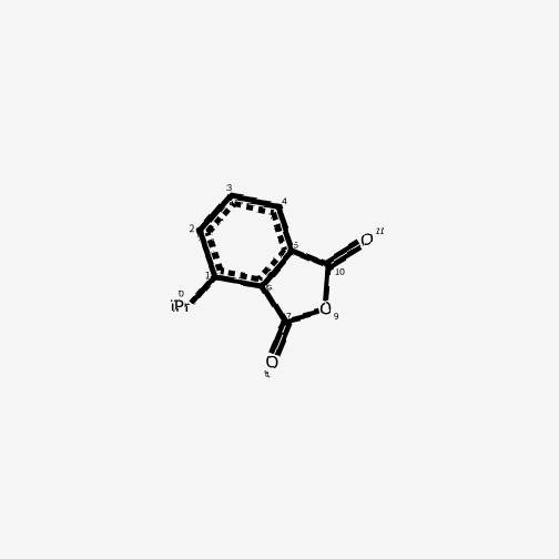 CC(C)c1cccc2c1C(=O)OC2=O